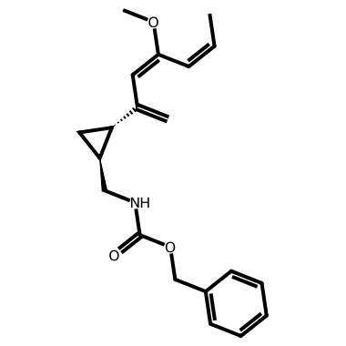 C=C(/C=C(\C=C/C)OC)[C@H]1C[C@@H]1CNC(=O)OCc1ccccc1